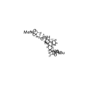 CNC(=O)O[C@H]1CC[C@H](CC(=O)Nc2cnc(-c3ccc(C4(NC(=O)OC(C)(C)C)CCC4)cc3)c(-c3ccccc3)c2)CC1